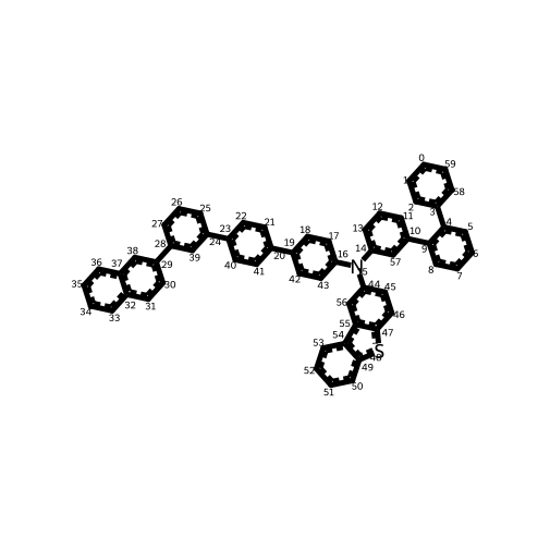 c1ccc(-c2ccccc2-c2cccc(N(c3ccc(-c4ccc(-c5cccc(-c6ccc7ccccc7c6)c5)cc4)cc3)c3ccc4sc5ccccc5c4c3)c2)cc1